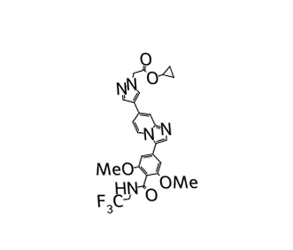 COc1cc(-c2cnc3cc(-c4cnn(CC(=O)OC5CC5)c4)ccn23)cc(OC)c1C(=O)NCC(F)(F)F